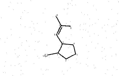 [Li][CH]1CCCC1C=C(C)C